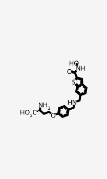 N[C@@H](CCOc1ccc(CNCc2ccc3cc(C(=O)NO)sc3c2)cc1)C(=O)O